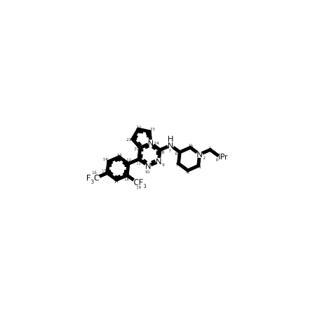 CC(C)CN1CCCC(Nc2nnc(-c3ccc(C(F)(F)F)cc3C(F)(F)F)c3cccn23)C1